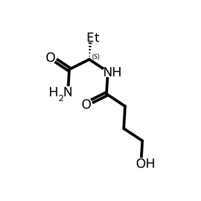 CC[C@H](NC(=O)CCCO)C(N)=O